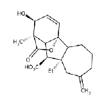 C=C1CCCC2[C@@]34C=C[C@H](O)[C@](C)(C(=O)O3)C4[C@H](C(=O)O)[C@]2(CC)C1